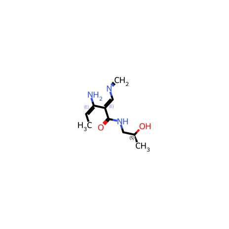 C=N/C=C(C(=O)NC[C@H](C)O)\C(N)=C/C